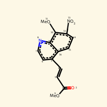 COC(=O)C=Cc1ccnc2c(OC)c([N+](=O)[O-])ccc12